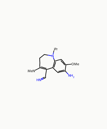 CNC1=C(C=N)c2cc(N)c(OC)cc2N(C(C)C)CC1